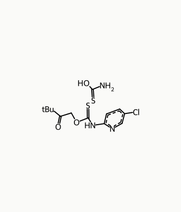 CC(C)(C)C(=O)COC(=S)Nc1ccc(Cl)cn1.NC(O)=S